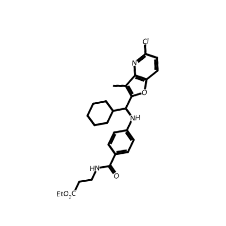 CCOC(=O)CCNC(=O)c1ccc(NC(c2oc3ccc(Cl)nc3c2C)C2CCCCC2)cc1